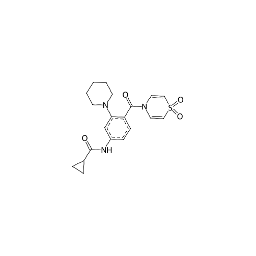 O=C(Nc1ccc(C(=O)N2C=CS(=O)(=O)C=C2)c(N2CCCCC2)c1)C1CC1